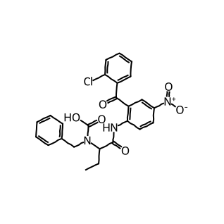 CCC(C(=O)Nc1ccc([N+](=O)[O-])cc1C(=O)c1ccccc1Cl)N(Cc1ccccc1)C(=O)O